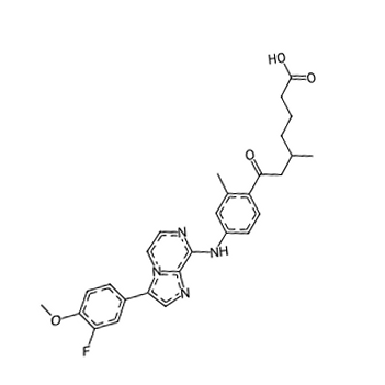 COc1ccc(-c2cnc3c(Nc4ccc(C(=O)CC(C)CCCC(=O)O)c(C)c4)nccn23)cc1F